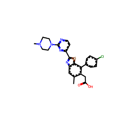 Cc1cc2nc(-c3ccnc(N4CCN(C)CC4)n3)sc2c(-c2ccc(Cl)cc2)c1CC(=O)O